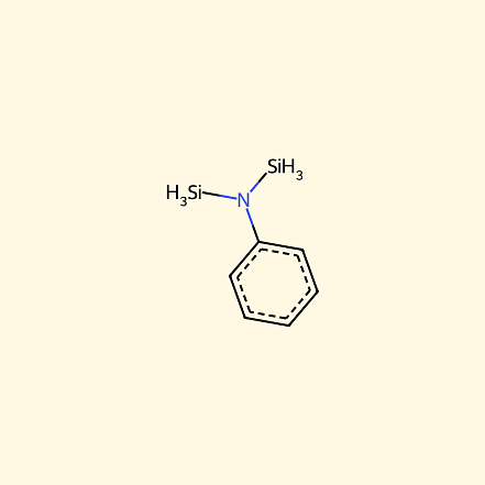 [SiH3]N([SiH3])c1ccccc1